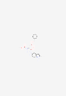 CC(C)(C)OC(=O)N[C@@H](CC(=O)OCc1ccccc1)C(=O)Nc1ccc2[nH]c(C(=O)O)cc2c1